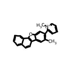 Cc1cc2c(cc1-c1cccc[n+]1C)oc1c3ccccc3ccc21